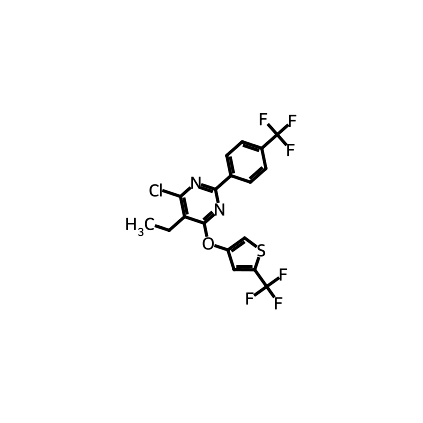 CCc1c(Cl)nc(-c2ccc(C(F)(F)F)cc2)nc1Oc1csc(C(F)(F)F)c1